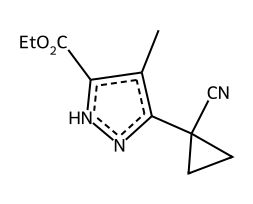 CCOC(=O)c1[nH]nc(C2(C#N)CC2)c1C